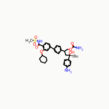 CC(C)(C)[C@](O)(CC(COC(N)=O)c1ccc(-c2ccc(C(=O)NS(C)(=O)=O)c(OC3CCCCC3)c2)cc1)c1ccc(N)cc1